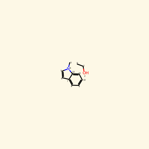 CCO.Cn1ccc2ccccc21